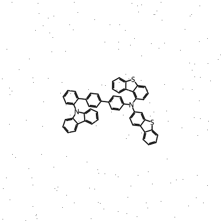 c1ccc(-n2c3ccccc3c3ccccc32)c(-c2ccc(-c3ccc(N(c4ccc5c(c4)sc4ccccc45)c4cccc5sc6ccccc6c45)cc3)cc2)c1